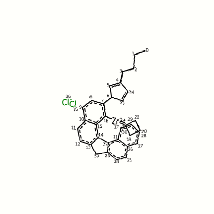 CCCCC1=CC(c2ccc3ccc4c(c3[c]2[Zr+2]=[C]2CCC2)-c2c(ccc3ccccc23)C4)C=C1.[Cl-].[Cl-]